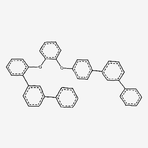 c1ccc(-c2cccc(-c3ccc(Oc4ccccc4Oc4ccccc4-c4cccc(-c5ccccc5)c4)cc3)c2)cc1